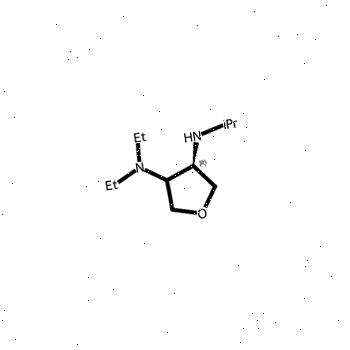 CCN(CC)C1COC[C@@H]1NC(C)C